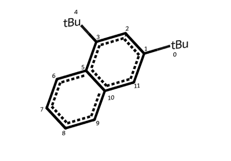 CC(C)(C)c1[c]c(C(C)(C)C)c2ccccc2c1